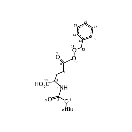 CC(C)(C)OC(=O)N[C@@H](CCC(=O)OOCc1ccccc1)C(=O)O